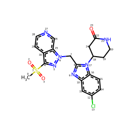 CS(=O)(=O)c1nn(Cc2nc3cc(Cl)ccc3n2C2CCNC(=O)C2)c2cnccc12